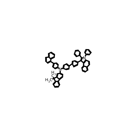 CC1(C)c2ccccc2-c2ccc(N(c3ccc(-c4ccc(-c5c(-c6ccccc6)n(-c6ccccc6)c6ccc7ccccc7c56)cc4)cc3)c3ccc(-c4cccc5ccccc45)cc3)cc21